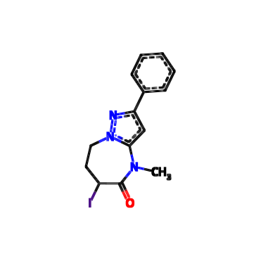 CN1C(=O)C(I)CCn2nc(-c3ccccc3)cc21